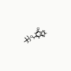 CC(C)(C)[Si](C)(C)OCc1cc(Cl)n2ncnc2c1